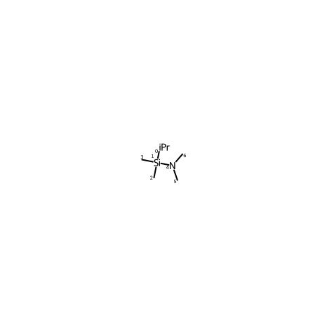 CC(C)[Si](C)(C)N(C)C